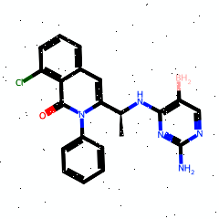 Bc1cnc(N)nc1N[C@@H](C)c1cc2cccc(Cl)c2c(=O)n1-c1ccccc1